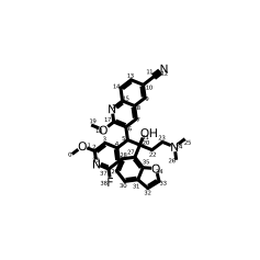 COc1cc(C(c2cc3cc(C#N)ccc3nc2OC)C(O)(CCN(C)C)c2cccc3ccoc23)cc(F)n1